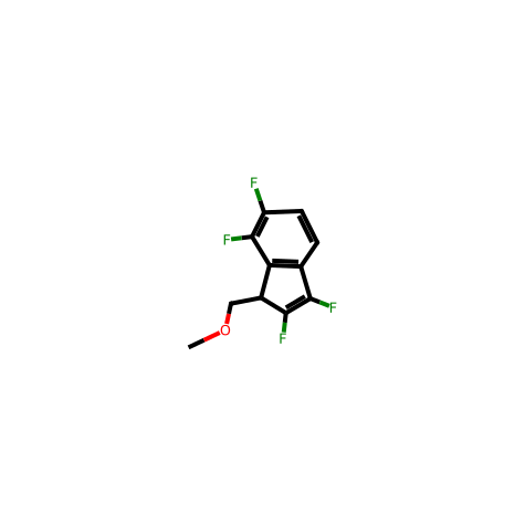 COCC1C(F)=C(F)c2ccc(F)c(F)c21